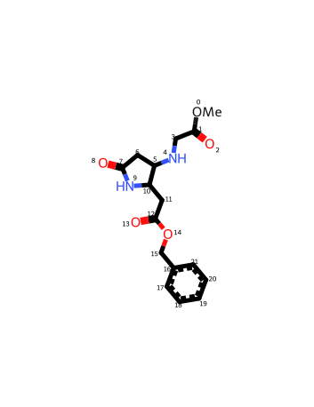 COC(=O)CNC1CC(=O)NC1CC(=O)OCc1ccccc1